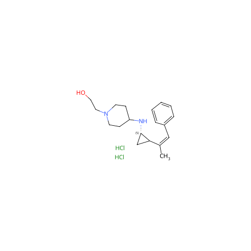 CC(=Cc1ccccc1)C1C[C@@H]1NC1CCN(CCO)CC1.Cl.Cl